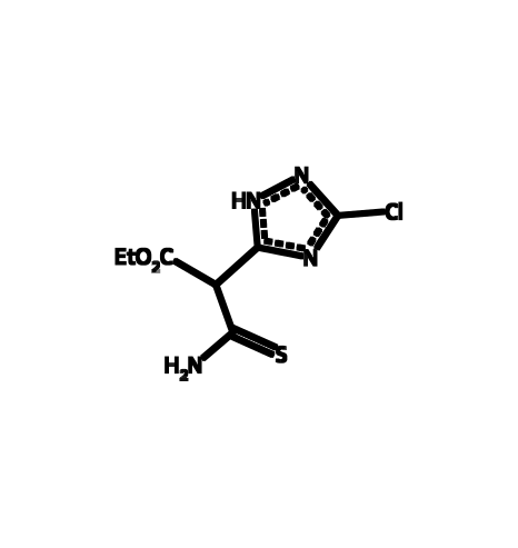 CCOC(=O)C(C(N)=S)c1nc(Cl)n[nH]1